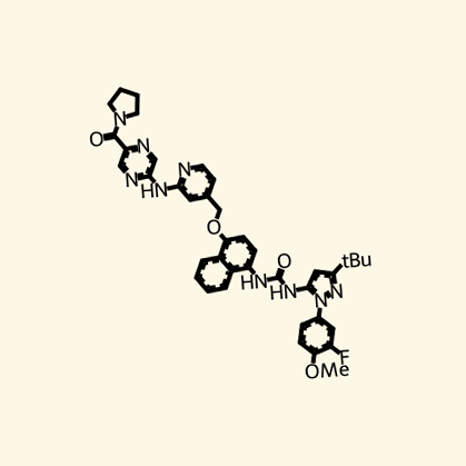 COc1ccc(-n2nc(C(C)(C)C)cc2NC(=O)Nc2ccc(OCc3ccnc(Nc4cnc(C(=O)N5CCCC5)cn4)c3)c3ccccc23)cc1F